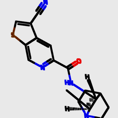 C[C@H]1[C@H](NC(=O)c2cc3c(C#N)csc3cn2)C2CCN1CC2